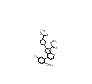 COc1ccc(F)cc1-c1ccnc2c1cc(C1CCN(C(=O)OC(C)(C)C)C1)n2C(=O)OC(C)(C)C